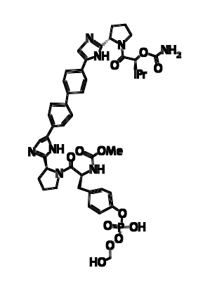 COC(=O)N[C@@H](Cc1ccc(OP(=O)(O)OOCO)cc1)C(=O)N1CCC[C@H]1c1ncc(-c2ccc(-c3ccc(-c4cnc([C@@H]5CCCN5C(=O)[C@@H](OC(N)=O)C(C)C)[nH]4)cc3)cc2)[nH]1